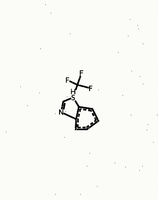 FC(F)(F)[SH]1C=Nc2ccccc21